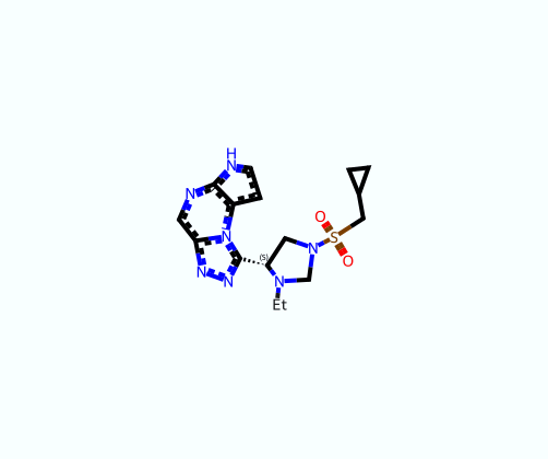 CCN1CN(S(=O)(=O)CC2CC2)C[C@H]1c1nnc2cnc3[nH]ccc3n12